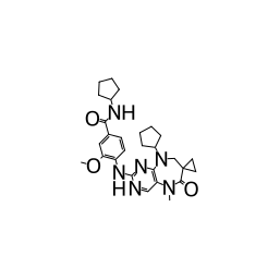 COc1cc(C(=O)NC2CCCC2)ccc1Nc1ncc2c(n1)N(C1CCCC1)CC1(CC1)C(=O)N2C